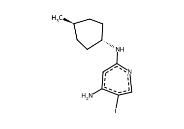 C[C@H]1CC[C@H](Nc2cc(N)c(I)cn2)CC1